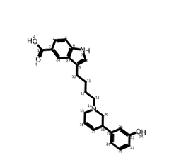 O=C(O)c1ccc2[nH]cc(CCCCN3CC=CC(c4cccc(O)c4)C3)c2c1